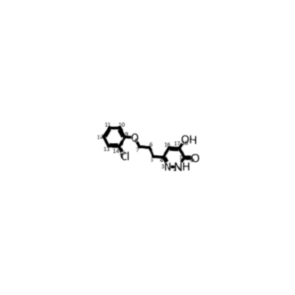 O=c1[nH]nc(CCCOc2ccccc2Cl)cc1O